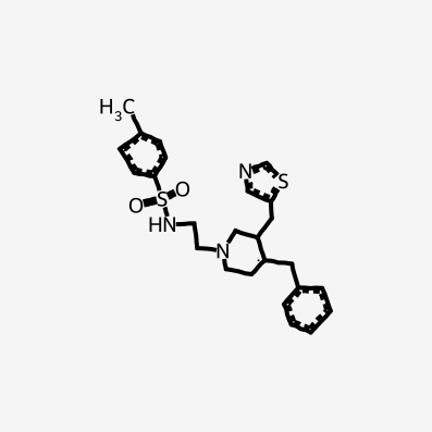 Cc1ccc(S(=O)(=O)NCCN2CC[C](Cc3ccccc3)C(Cc3cncs3)C2)cc1